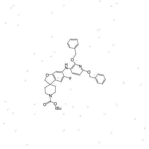 CC(C)(C)OC(=O)N1CCC2(CC1)COc1cc(Nc3ccc(OCc4ccccc4)nc3OCc3ccccc3)c(F)cc12